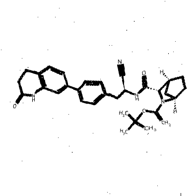 C=C(OC(C)(C)C)N1[C@@H]2CC[C@@H](C2)[C@H]1C(=O)N[C@H](C#N)Cc1ccc(-c2ccc3c(c2)NC(=O)CC3)cc1